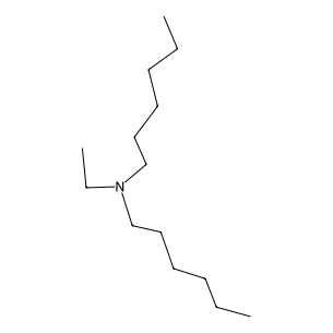 CCCCCCN(CC)CCCCCC